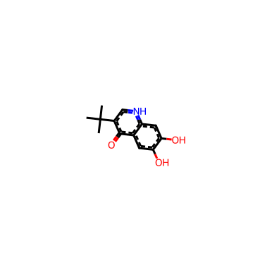 CC(C)(C)c1c[nH]c2cc(O)c(O)cc2c1=O